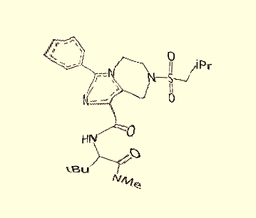 CNC(=O)C(NC(=O)c1nc(-c2ccccc2)n2c1CN(S(=O)(=O)CC(C)C)CC2)C(C)(C)C